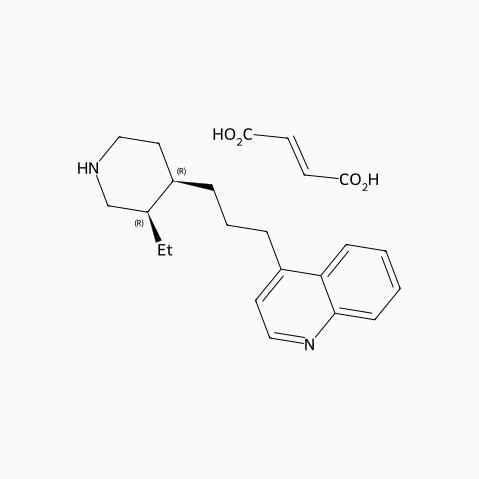 CC[C@H]1CNCC[C@H]1CCCc1ccnc2ccccc12.O=C(O)C=CC(=O)O